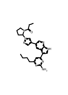 CCCCc1cc(-c2c[nH]c3ncc(-c4cnn(C5CCCN5C(=O)CC)c4)cc23)nc(N)n1